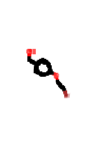 OCc1ccc(OCCBr)cc1